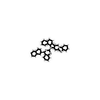 c1ccc2cc(-c3nc(-n4c5cc6nc7ccccc7n6cc5c5ccc6ccccc6c54)nc4ccccc34)ccc2c1